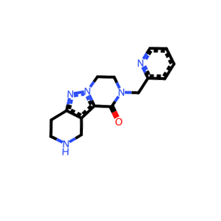 O=C1c2c3c(nn2CCN1Cc1ccccn1)CCNC3